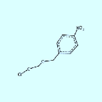 O=[N+]([O-])c1ccc(COCCCl)cc1